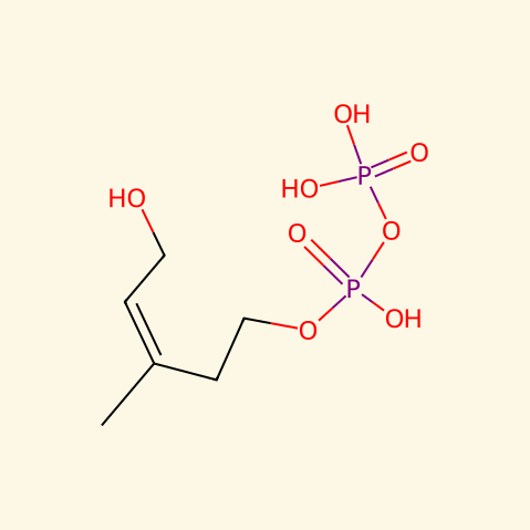 CC(=CCO)CCOP(=O)(O)OP(=O)(O)O